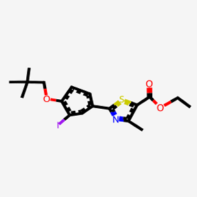 CCOC(=O)c1sc(-c2ccc(OCC(C)(C)C)c(I)c2)nc1C